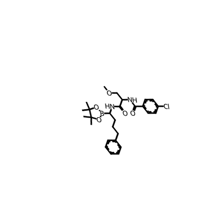 COCC(NC(=O)c1ccc(Cl)cc1)C(=O)NC(CCCc1ccccc1)B1OC(C)(C)C(C)(C)O1